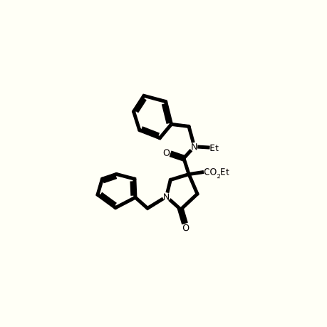 CCOC(=O)C1(C(=O)N(CC)Cc2ccccc2)CC(=O)N(Cc2ccccc2)C1